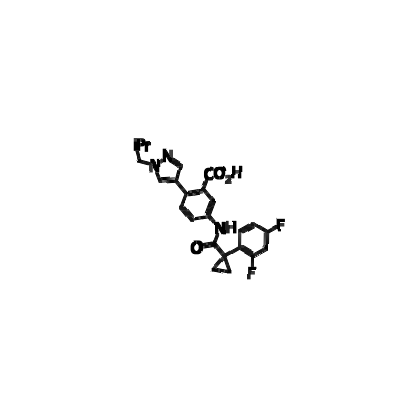 CC(C)Cn1cc(-c2ccc(NC(=O)C3(c4ccc(F)cc4F)CC3)cc2C(=O)O)cn1